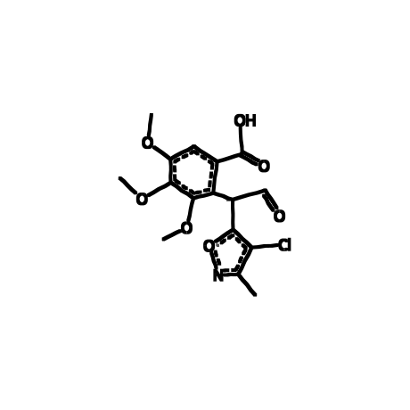 COc1cc(C(=O)O)c([C](C=O)c2onc(C)c2Cl)c(OC)c1OC